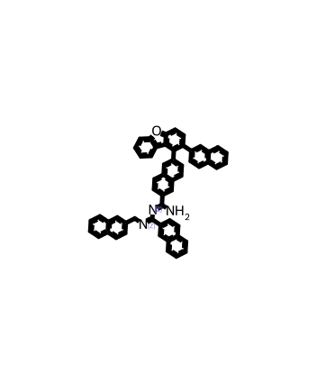 N/C(=N\C(=N/Cc1ccc2ccccc2c1)c1ccc2ccccc2c1)c1ccc2cc(-c3c(-c4ccc5ccccc5c4)ccc4oc5ccccc5c34)ccc2c1